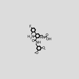 COc1cc(CNC(=O)c2cc(CNC(=O)O)cc(-c3ccc(F)cc3C)c2N)cc(OC)c1